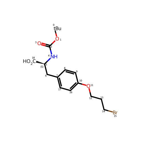 CC(C)(C)OC(=O)N[C@@H](Cc1ccc(OCCCBr)cc1)C(=O)O